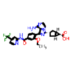 CCOc1cc(C(=O)Nc2cc(C(F)(F)F)ccn2)ccc1-c1nc([C@@H]2C[C@@H]3[C@H](C2)[C@H]3C(=O)O)n2ccnc(N)c12